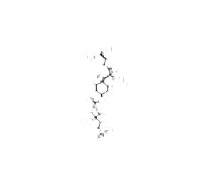 CCN(CC)CCC1(O)CN(C(=O)OC2CCC3(CC2)OC3[C@]2(C)O[C@@H]2CC=C(C)C)C1